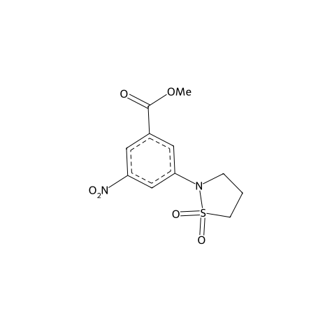 COC(=O)c1cc(N2CCCS2(=O)=O)cc([N+](=O)[O-])c1